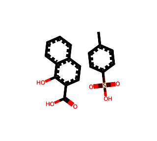 Cc1ccc(S(=O)(=O)O)cc1.O=C(O)c1ccc2ccccc2c1O